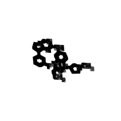 C=CC(=O)Nc1cc(Nc2ncn3ccc(-c4cccc(F)c4)c3n2)ccc1N(C)C1CCN(C)C1